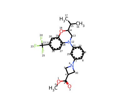 COC(=O)C1CN(c2cccc(N3CC(C(C)C)Oc4cc(C(F)(F)F)ccc43)c2)C1